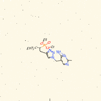 CCOC(=O)C(Cc1cn(Cc2cnc(C)nc2N)nn1)P(=O)(OCC)OCC